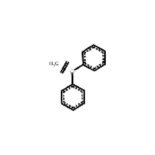 C=C.O.c1ccc(Oc2ccccc2)cc1